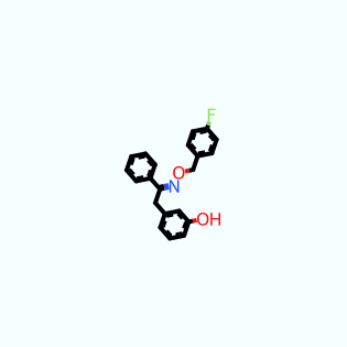 Oc1cccc(CC(=NOCc2ccc(F)cc2)c2ccccc2)c1